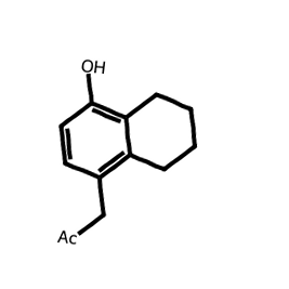 CC(=O)Cc1ccc(O)c2c1CCCC2